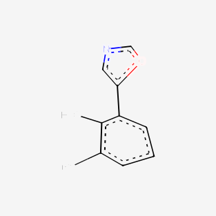 Cc1c(-c2cnco2)cccc1C(C)C